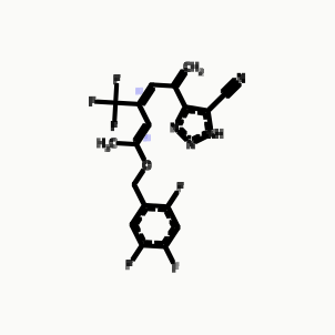 C=C(/C=C(\C=C(/C)OCc1cc(F)c(F)cc1F)C(F)(F)F)c1nn[nH]c1C#N